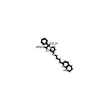 CCCCCC(C)C(C(=O)O)(c1ccccc1)N1CCC(OCCCCc2ccc3c(n2)NCCC3)C1